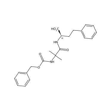 CC(C)(NC(=O)OCc1ccccc1)C(=O)N[C@H](CCc1ccccc1)C(=O)O